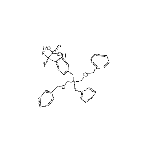 O=P(O)(O)C(F)(F)c1ccc(CC(COCc2ccccc2)(COCc2ccccc2)Cc2ccccc2)cc1